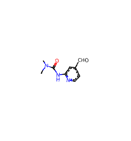 CN(C)C(=O)Nc1cc(C=O)ccn1